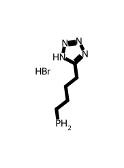 Br.PCCCCc1nnn[nH]1